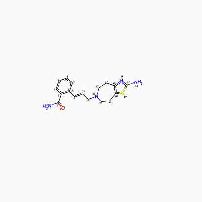 NC(=O)c1ccccc1C=CCN1CCc2nc(N)sc2CC1